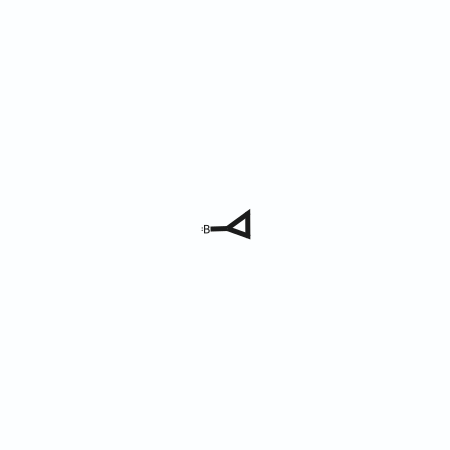 [B]C1CC1